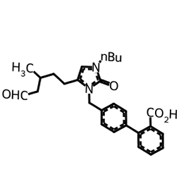 CCCCn1cc(CCC(C)CC=O)n(Cc2ccc(-c3ccccc3C(=O)O)cc2)c1=O